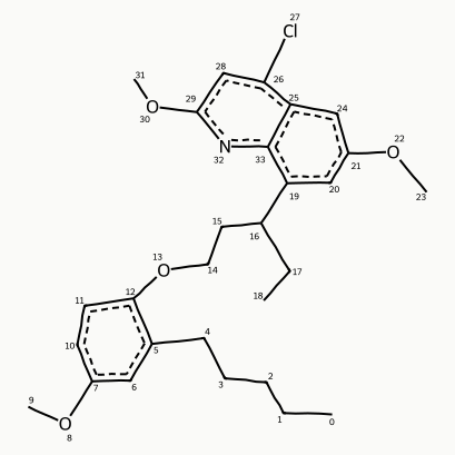 CCCCCc1cc(OC)ccc1OCCC(CC)c1cc(OC)cc2c(Cl)cc(OC)nc12